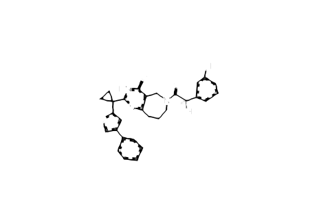 O=C([C@H](O)c1cccc(Cl)c1)N1CCCc2nc(C3(c4cc(-c5ccccc5)cs4)CC3)[nH]c(=O)c2C1